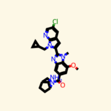 COc1cc(C(=O)N2CC3CCC2C3N)cc2nc(-c3cc4cc(Cl)cnc4n3CC3CC3)n(C)c12